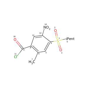 CCCC(C)S(=O)(=O)c1cc(C)c(C(=O)Cl)cc1[N+](=O)[O-]